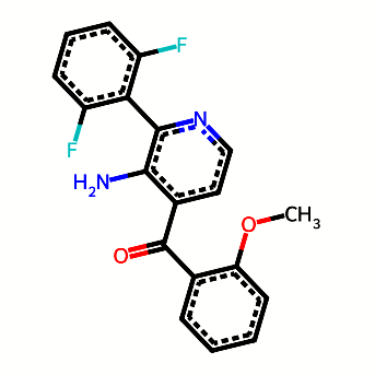 COc1ccccc1C(=O)c1ccnc(-c2c(F)cccc2F)c1N